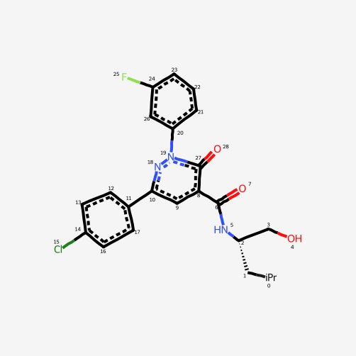 CC(C)C[C@@H](CO)NC(=O)c1cc(-c2ccc(Cl)cc2)nn(-c2cccc(F)c2)c1=O